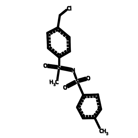 Cc1ccc(S(=O)(=O)N=S(C)(=O)c2ccc(CCl)cc2)cc1